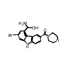 NC(O)c1cc(Br)cc2[nH]c3ccc(C(=O)N4CCOCC4)cc3c12